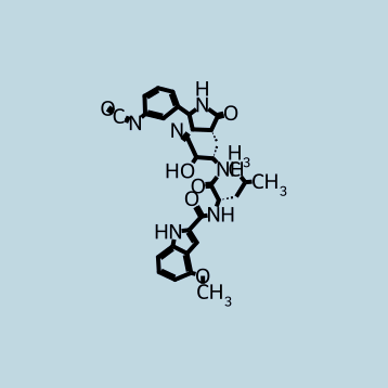 COc1cccc2[nH]c(C(=O)N[C@@H](CC(C)C)C(=O)N[C@@H](C[C@@H]3CC(c4cccc(N=C=O)c4)NC3=O)C(O)C#N)cc12